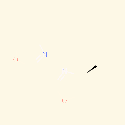 C[C@H]1COC(C2(C3=N[C@@H](C(C)(C)C)CO3)CC2)=N1